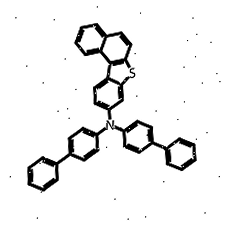 c1ccc(-c2ccc(N(c3ccc(-c4ccccc4)cc3)c3ccc4c(c3)sc3ccc5ccccc5c34)cc2)cc1